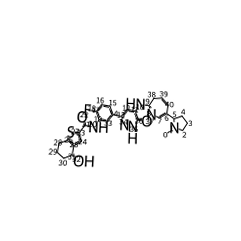 CN1CCCC1C1=CN=C(Nc2cc(-c3ccc(F)c(NC(=O)c4cc5c(s4)CCCC5O)c3)n[nH]c2=O)CC=C1